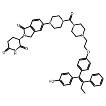 CC/C(=C(\c1ccc(O)cc1)c1ccc(OCCN2CCN(C(=O)N3CCN(c4ccc5c(c4)CN([C@@H]4CCC(=O)NC4=O)C5=O)CC3)CC2)cc1)c1ccccc1